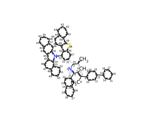 C=C[C@H](/N=C(\C(C)=C(/C)c1ccc(-c2ccccc2)cc1)c1ccc2ccccc2c1)c1cc(-n2c3cc4ccccc4cc3c3ccc4ccccc4c32)c2c(c1)sc1c3ccccc3ccc12